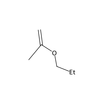 [CH2]CCOC(=C)C